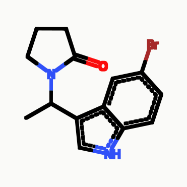 CC(c1c[nH]c2ccc(Br)cc12)N1CCCC1=O